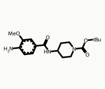 COc1cc(C(=O)NC2CCN(C(=O)OC(C)(C)C)CC2)ccc1N